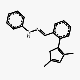 CC1=CC(C)=C(c2ccccc2/C=N/Nc2ccccc2)C1